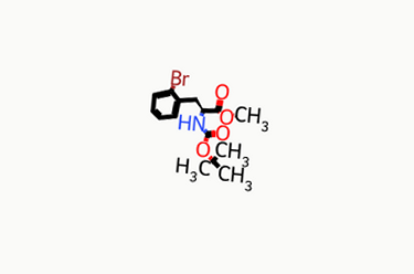 COC(=O)[C@H](Cc1ccccc1Br)NC(=O)OC(C)(C)C